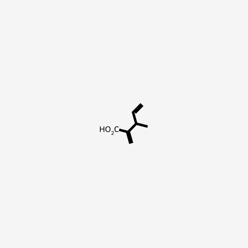 C=CC(C)C(=C)C(=O)O